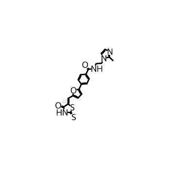 Cc1nccn1CCNC(=O)c1ccc(-c2ccc(/C=C3\SC(=S)NC3=O)o2)cc1